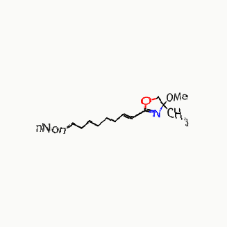 CCCCCCCCCCCCCCCC=CC1=NC(C)(OC)CO1